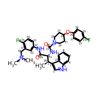 C[C@H](c1c[nH]c2ccccc12)[C@@H](NC(=O)N1CCC(Oc2ccc(F)cc2)CC1)C(=O)Nc1ccc(F)c(CN(C)C)c1